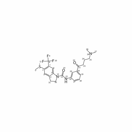 CSc1cc2c(cc1C(F)(F)F)N(C(=O)Nc1cccc(C(=O)CCCN(C)C)c1)CC2